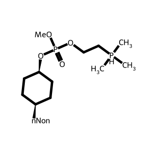 CCCCCCCCC[C@H]1CC[C@@H](OP(=O)(OC)OCC[PH](C)(C)C)CC1